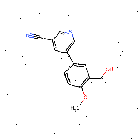 COc1ccc(-c2cncc(C#N)c2)cc1CO